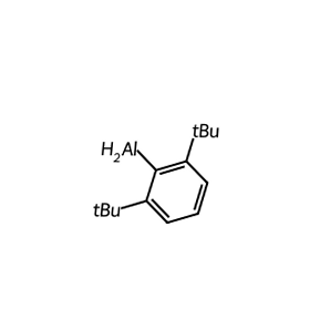 CC(C)(C)c1cccc(C(C)(C)C)[c]1[AlH2]